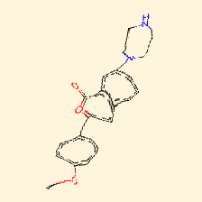 COc1ccc(-c2cc3ccc(N4CCNCC4)cc3c(=O)o2)cc1